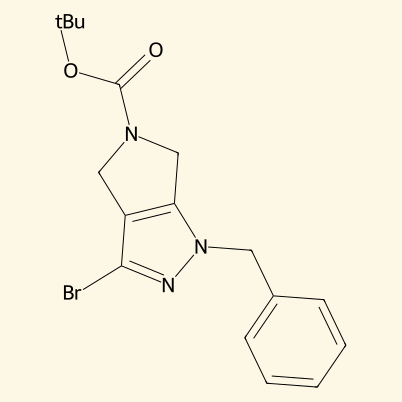 CC(C)(C)OC(=O)N1Cc2c(Br)nn(Cc3ccccc3)c2C1